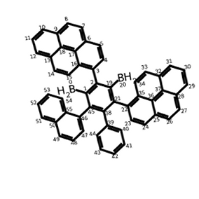 Bc1c(-c2ccc3ccc4cccc5ccc2c3c45)c(B)c(-c2ccc3ccc4cccc5ccc2c3c45)c(-c2ccccc2)c1-c1cccc2ccccc12